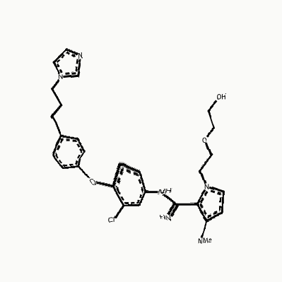 CNc1ccn(CCOCCO)c1C(=N)Nc1ccc(Oc2ccc(CCCn3ccnc3)cc2)c(Cl)c1